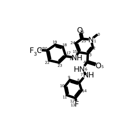 Cn1cc(C(=O)NNc2cccc(F)c2)c(Nc2ccc(C(F)(F)F)cc2)cc1=O